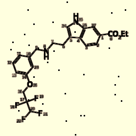 CCOC(=O)c1ccc2c(CCNCc3cccc(OCC(F)(F)C(F)F)c3)c[nH]c2c1